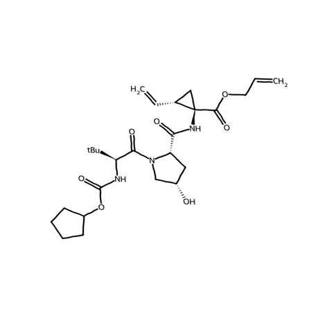 C=CCOC(=O)[C@@]1(NC(=O)[C@@H]2C[C@H](O)CN2C(=O)[C@@H](NC(=O)OC2CCCC2)C(C)(C)C)C[C@H]1C=C